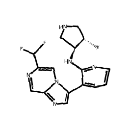 FC(F)c1cn2c(-c3cccnc3N[C@H]3CNC[C@@H]3F)cnc2cn1